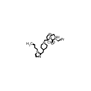 C=CCCn1ccnc1CC1CCN(C[C@@](C=O)(CC(C)C)N2CCN[C@@H](CC(C)C)C2=O)CC1